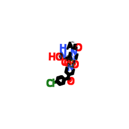 C[As](C)C(=O)N1CCN(S(=O)(=O)N2CCC(C(=O)c3ccc(Cl)cc3)CC2)[C@@H](C(=O)NO)C1